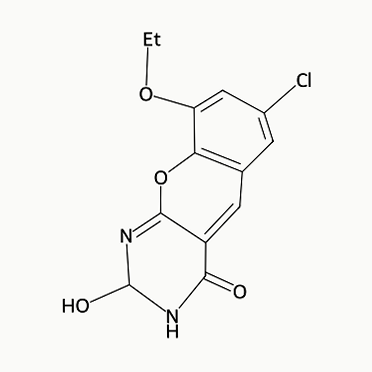 CCOc1cc(Cl)cc2c1OC1=NC(O)NC(=O)C1=C2